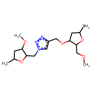 BC1CC(OCc2cn(CC3OC(C)CC3OC)nn2)C(COC)O1